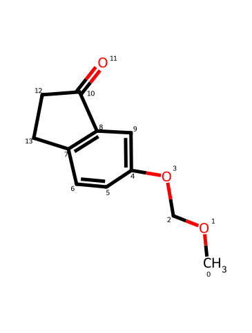 COCOc1ccc2c(c1)C(=O)CC2